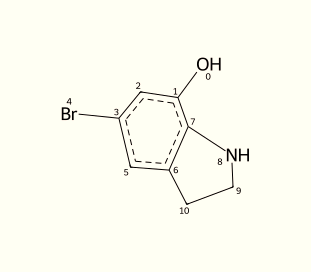 Oc1cc(Br)cc2c1NCC2